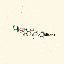 CCCCC[SiH]1CCC(CCC2CCC(c3ccc(OCC(F)(F)C(F)F)cc3)CC2)CC1